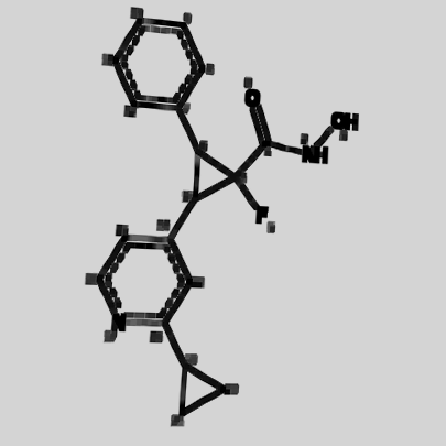 O=C(NO)C1(F)C(c2ccccc2)C1c1ccnc(C2CC2)c1